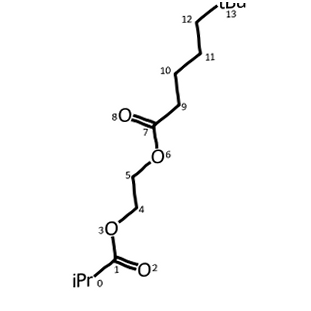 CC(C)C(=O)OCCOC(=O)CCCCC(C)(C)C